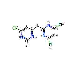 Cc1nc(Cl)cc(Cc2nc(Cl)cc(Cl)n2)n1